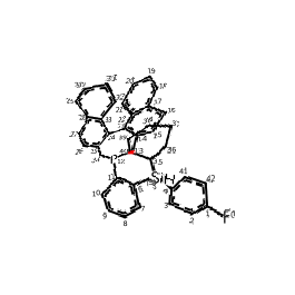 Fc1ccc([Si@@H](c2ccccc2P2Cc3ccc4ccccc4c3-c3c(ccc4ccccc34)C2)C2CCCCC2)cc1